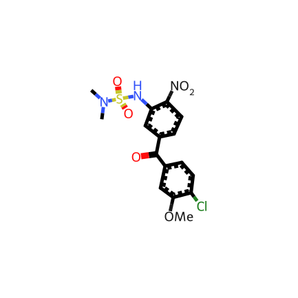 COc1cc(C(=O)c2ccc([N+](=O)[O-])c(NS(=O)(=O)N(C)C)c2)ccc1Cl